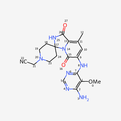 COc1c(N)ncnc1Nc1cc(C)c2n(c1=O)C1(CCN(CC#N)CC1)NC2=O